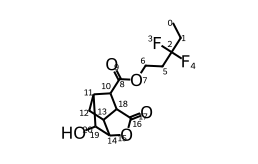 CCC(F)(F)CCOC(=O)C1C2CC3C(OC(=O)C31)C2O